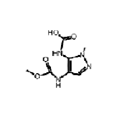 COC(=O)Nc1cnn(C)c1NC(=O)O